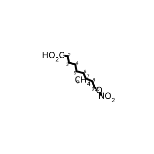 C.O=C(O)CCCCCCCCO[N+](=O)[O-]